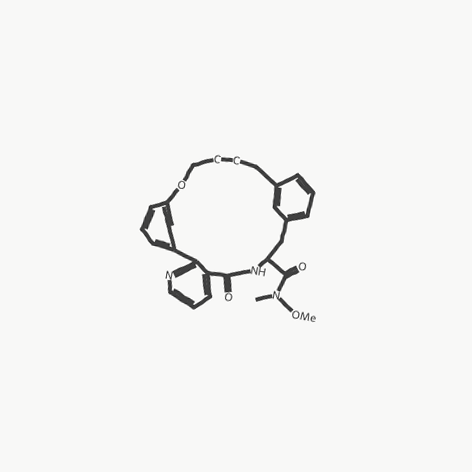 CON(C)C(=O)C1Cc2cccc(c2)CCCCOc2cccc(c2)-c2ncccc2C(=O)N1